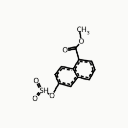 COC(=O)c1cccc2cc(O[SH](=O)=O)ccc12